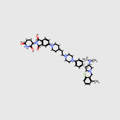 Cc1cccc(F)c1CN1C[C@H](c2ccc(N3CCN(CCC4CCN(c5ccc6c(c5)C(=O)N(C5CCC(=O)NC5=O)C6=O)CC4)CC3)cc2)[C@@H](N(C)C)C1